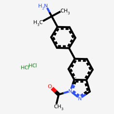 CC(=O)n1ncc2ccc(-c3ccc(C(C)(C)N)cc3)cc21.Cl.Cl